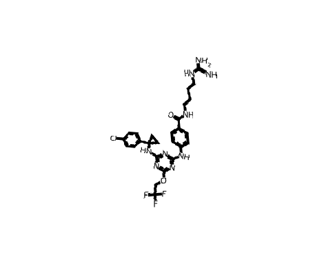 N=C(N)NCCCCNC(=O)c1ccc(Nc2nc(NC3(c4ccc(Cl)cc4)CC3)nc(OCC(F)(F)F)n2)cc1